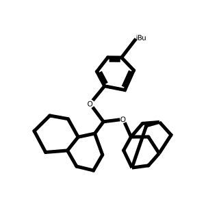 CCC(C)c1ccc(OC(OC23CC4CC(CC(C4)C2)C3)C2CCCC3CCCCC32)cc1